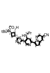 CC(C)Nc1cc(-c2ccc3cc(C#N)cnn23)ncc1-c1nnc([C@H]2C[C@H](N(C(=O)O)C(C)(C)C)C2)s1